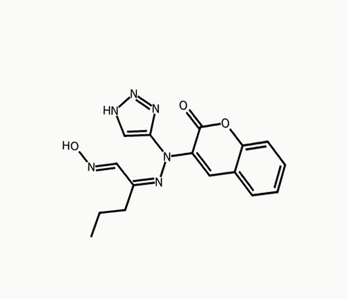 CCCC(C=NO)=NN(c1c[nH]nn1)c1cc2ccccc2oc1=O